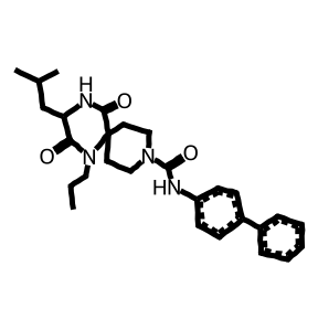 CCCN1C(=O)C(CC(C)C)NC(=O)C12CCN(C(=O)Nc1ccc(-c3ccccc3)cc1)CC2